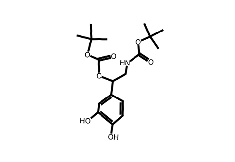 CC(C)(C)OC(=O)NCC(OC(=O)OC(C)(C)C)c1ccc(O)c(O)c1